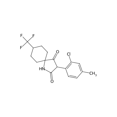 Cc1ccc(C2C(=O)NC3(CCC(C(F)(F)F)CC3)C2=O)c(Cl)c1